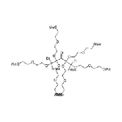 CCCCCCC(CC)(OCCOCCOC)C(OCCOCCOC)(OCCOCCOC)C(=O)C(OCCOCCOC)(OCCOCCOC)C(CC)(CCCCCC)OCCOCCOC